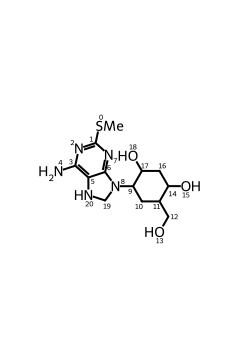 CSc1nc(N)c2c(n1)N(C1CC(CO)C(O)CC1O)CN2